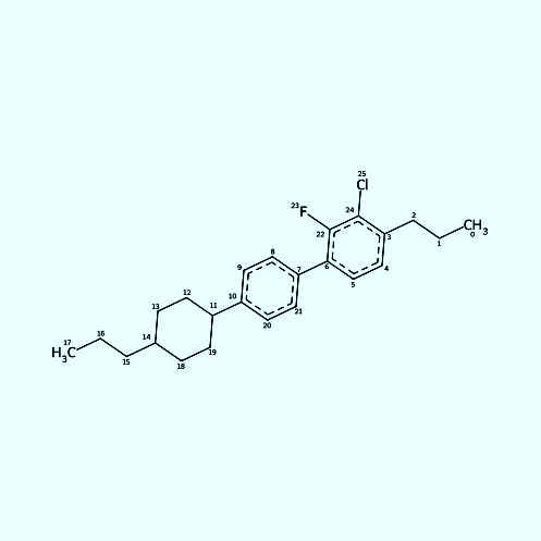 CCCc1ccc(-c2ccc(C3CCC(CCC)CC3)cc2)c(F)c1Cl